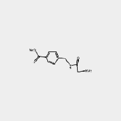 CNCC(=O)NCc1ccc(C(=O)OC)cc1